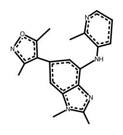 Cc1ncccc1Nc1cc(-c2c(C)noc2C)cc2c1nc(C)n2C